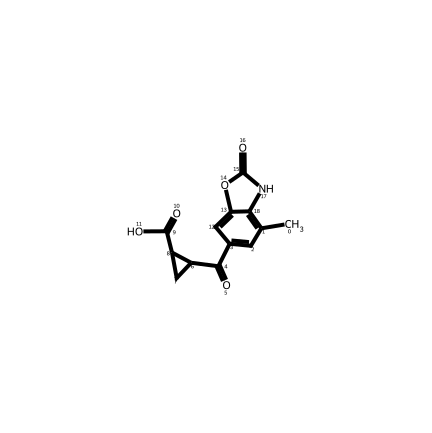 Cc1cc(C(=O)C2CC2C(=O)O)cc2oc(=O)[nH]c12